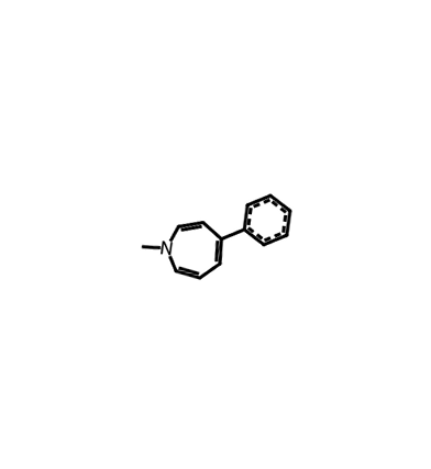 CN1C=CC=C(c2ccccc2)C=C1